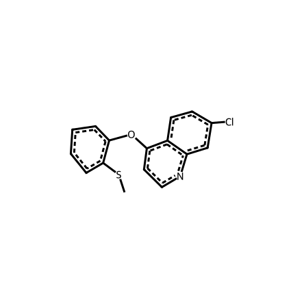 CSc1ccccc1Oc1ccnc2cc(Cl)ccc12